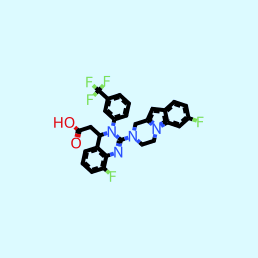 O=C(O)CC1c2cccc(F)c2N=C(N2CCn3c(cc4ccc(F)cc43)C2)N1c1cccc(C(F)(F)F)c1